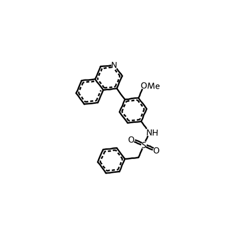 COc1cc(NS(=O)(=O)Cc2ccccc2)ccc1-c1cncc2ccccc12